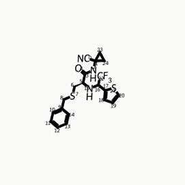 N#CC1(NC(=O)[C@H](CSCc2ccccc2)NC(c2cccs2)C(F)(F)F)CC1